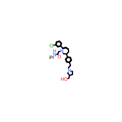 CC(C)NC(=O)CN1CC(c2ccc(CCN3CCC(CO)C3)cc2)CC=C=C1c1cccc(Cl)c1